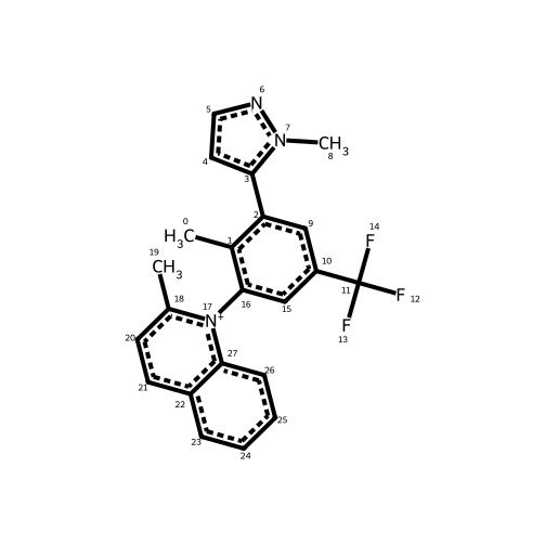 Cc1c(-c2ccnn2C)cc(C(F)(F)F)cc1-[n+]1c(C)ccc2ccccc21